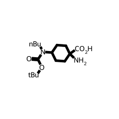 CCCCN(C(=O)OC(C)(C)C)C1CCC(N)(C(=O)O)CC1